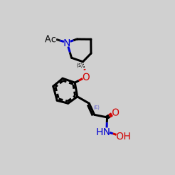 CC(=O)N1CCC[C@H](Oc2ccccc2/C=C/C(=O)NO)C1